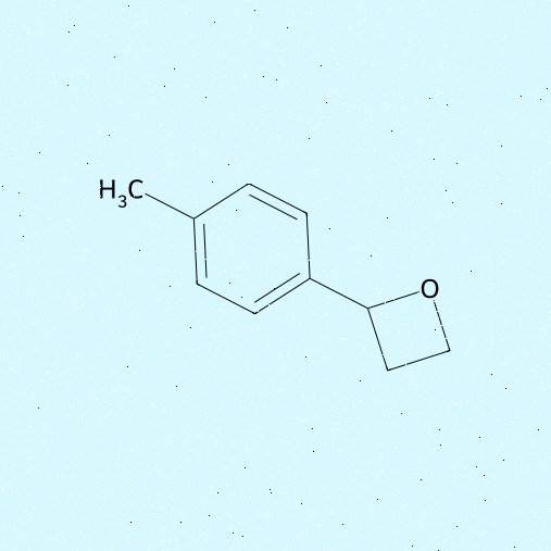 Cc1ccc(C2CCO2)cc1